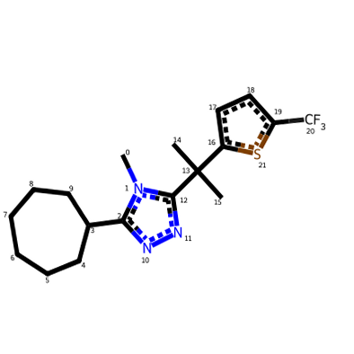 Cn1c(C2CCCCCC2)nnc1C(C)(C)c1ccc(C(F)(F)F)s1